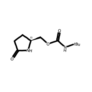 CC(C)(C)NC(=O)OC[C@@H]1CCC(=O)N1